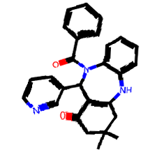 CC1(C)CC(=O)C2=C(C1)Nc1ccccc1N(C(=O)c1ccccc1)C2c1cccnc1